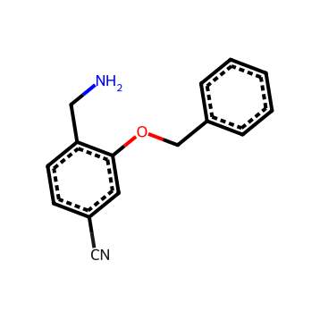 N#Cc1ccc(CN)c(OCc2ccccc2)c1